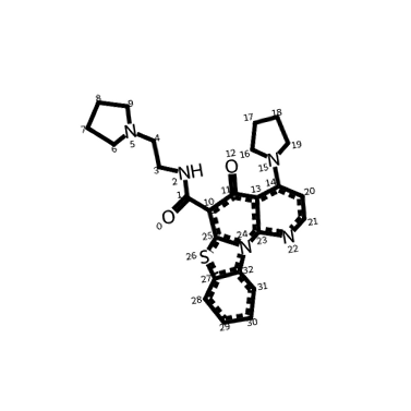 O=C(NCCN1CCCC1)c1c(=O)c2c(N3CCCC3)ccnc2n2c1sc1ccccc12